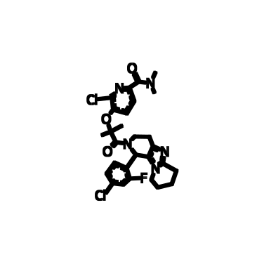 CN(C)C(=O)c1ccc(OC(C)(C)C(=O)N2CCc3nc4n(c3C2c2ccc(Cl)cc2F)CCCC4)c(Cl)n1